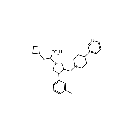 O=C(O)C(CC1CCC1)N1CC(CN2CCC(c3cccnc3)CC2)C(c2cccc(F)c2)C1